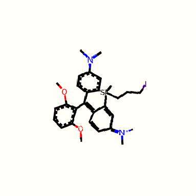 COc1cccc(OC)c1C1=C2C=CC(=[N+](C)C)C=C2[Si](C)(CCCI)c2cc(N(C)C)ccc21